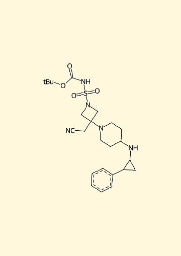 CC(C)(C)OC(=O)NS(=O)(=O)N1CC(CC#N)(N2CCC(NC3CC3c3ccccc3)CC2)C1